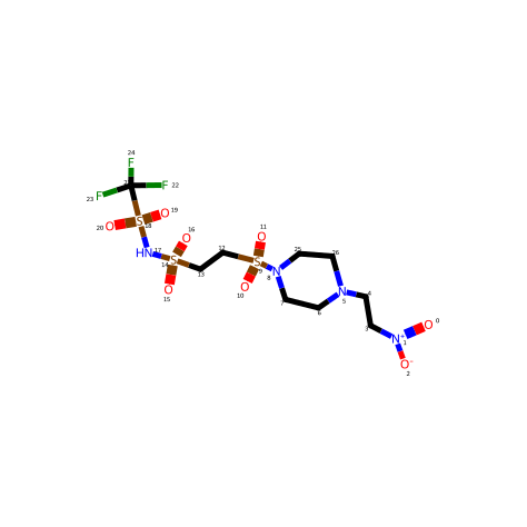 O=[N+]([O-])CCN1CCN(S(=O)(=O)CCS(=O)(=O)NS(=O)(=O)C(F)(F)F)CC1